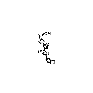 CC(CCO)CN1CCN(c2cc(-c3nc(-c4cccc(Cl)c4)c[nH]3)ccn2)CC1